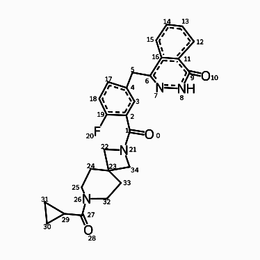 O=C(c1cc(Cc2n[nH]c(=O)c3ccccc23)ccc1F)N1CC2(CCN(C(=O)C3CC3)CC2)C1